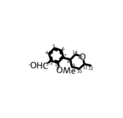 COc1c([C]=O)cccc1C1CCC(C)OC1